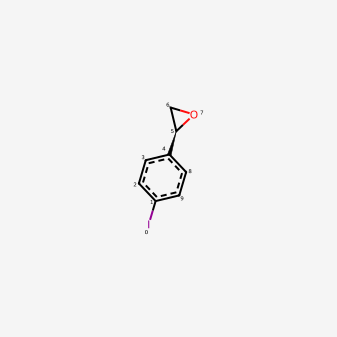 Ic1ccc([C@H]2CO2)cc1